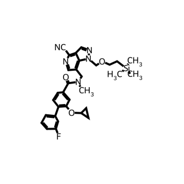 CN(Cc1cnc(C#N)c2cnn(COCC[Si](C)(C)C)c12)C(=O)c1ccc(-c2cccc(F)c2)c(OC2CC2)c1